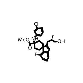 COC(=O)C1(Nc2cccc(Cl)c2)CCC2(CC1)C(C[C@@H](C)CO)=Cc1cccc(F)c12